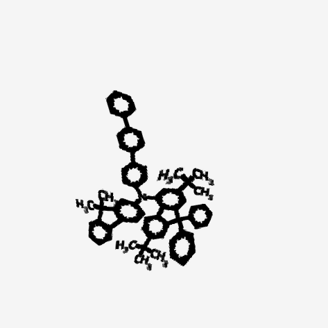 CC(C)(C)c1ccc2c(c1)C(c1ccccc1)(c1ccccc1)c1cc(C(C)(C)C)cc(N(c3ccc(-c4ccc(-c5ccccc5)cc4)cc3)c3ccc4c(c3)C(C)(C)c3ccccc3-4)c1-2